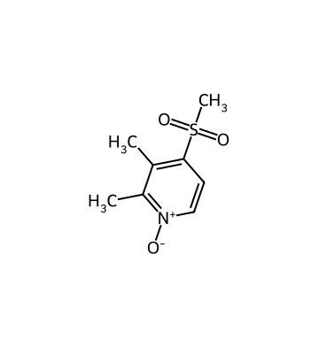 Cc1c(S(C)(=O)=O)cc[n+]([O-])c1C